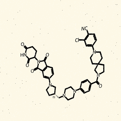 N#Cc1ccc(N2CCC3(CCN(C(=O)c4ccc(N5CCN(C[C@@H]6CCN(c7ccc8c(c7)C(=O)N(C7CCC(=O)NC7=O)C8=O)C6)CC5)cc4)C3)CC2)cc1Cl